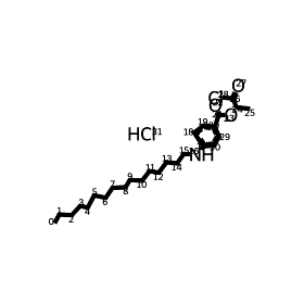 CCCCCCCCCCCCCCCCNc1ccc(C(=O)OC(C)C(=O)Cl)cc1.Cl